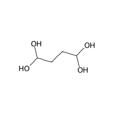 OC(O)CCC(O)O